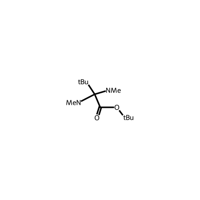 CNC(NC)(C(=O)OC(C)(C)C)C(C)(C)C